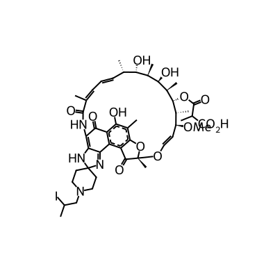 CO[C@H]1/C=C/O[C@@]2(C)Oc3c(C)c(O)c4c(c3C2=O)C2=NC3(CCN(CC(C)I)CC3)NC2=C(NC(=O)/C(C)=C\C=C\[C@H](C)[C@H](O)[C@@H](C)[C@@H](O)[C@@H](C)[C@H](OC(=O)C(C)C(=O)O)[C@@H]1C)C4=O